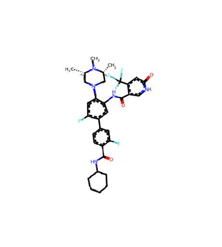 C[C@@H]1CN(c2cc(F)c(-c3ccc(C(=O)NC4CCCCC4)c(F)c3)cc2NC(=O)c2c[nH]c(=O)cc2C(F)(F)F)C[C@H](C)N1C